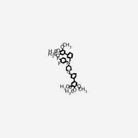 COc1cc(-c2cccc(CN3CCC(N(Cc4cccc(-c5cc(OC)c(OC)c(OC)c5)c4)c4ccc(F)c(F)c4)CC3)c2)cc(OC)c1OC